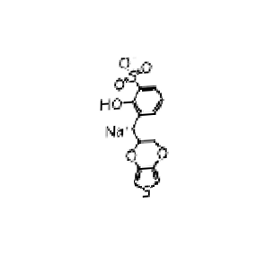 O=S(=O)([O-])c1cccc(CC2COc3cscc3O2)c1O.[Na+]